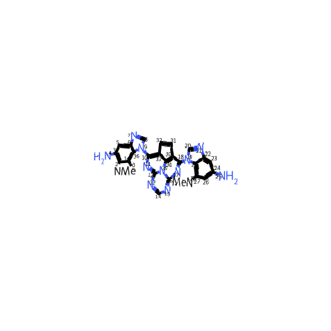 CNc1cc(N)cc2ncn(-c3nc4ncnc5nc(-n6cnc7cc(N)cc(NC)c76)c6ccc3c6n45)c12